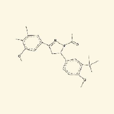 COc1ccc(C2CC(c3cc(C)c(C)c(OC)c3)=NN2C(C)=O)cc1C(C)(C)C